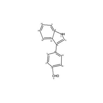 O=Cc1ccc(-c2c[nH]c3ccccc23)cc1